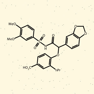 CCCc1cc(C(=O)O)ccc1OC(C(=O)NS(=O)(=O)c1ccc(OC)c(OC)c1)c1ccc2c(c1)OCO2